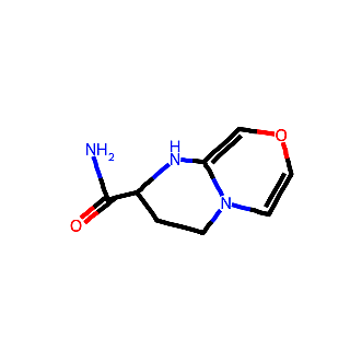 NC(=O)C1CCN2C=COC=C2N1